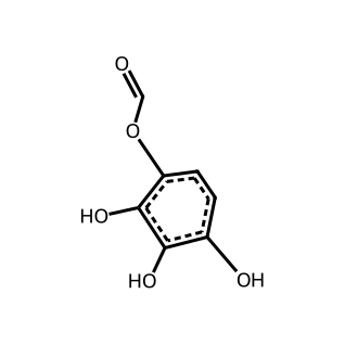 O=COc1ccc(O)c(O)c1O